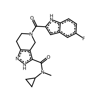 CN(C(=O)c1[nH]nc2c1CN(C(=O)c1cc3cc(F)ccc3[nH]1)CC2)C1CC1